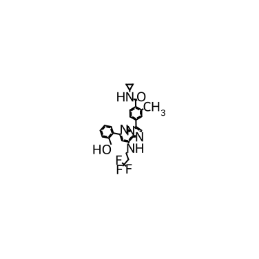 Cc1cc(-c2cnc3c(NCCC(F)(F)F)cc(-c4ccccc4CO)nn23)ccc1C(=O)NC1CC1